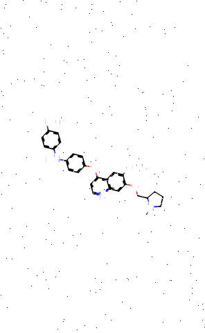 COc1cc2c(Oc3ccc(Nc4ccc(C(C)(C)C)cc4)cc3)ccnc2cc1OCC1CCCN1C